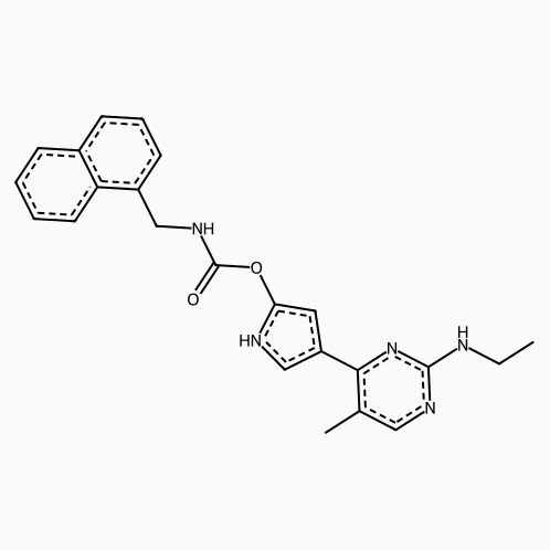 CCNc1ncc(C)c(-c2c[nH]c(OC(=O)NCc3cccc4ccccc34)c2)n1